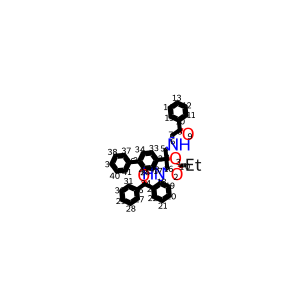 CCC(=O)OC(CNCC(=O)c1ccccc1)(CNc1ccccc1C(=O)c1ccccc1)c1ccc(-c2ccccc2)cc1